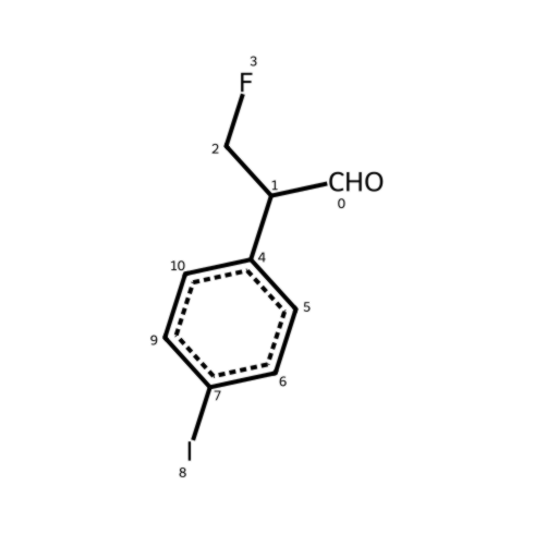 O=CC(CF)c1ccc(I)cc1